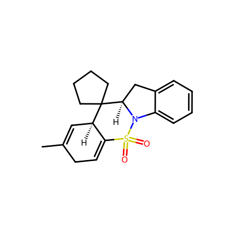 CC1=C[C@@H]2C(=CC1)S(=O)(=O)N1c3ccccc3C[C@@H]1C21CCCC1